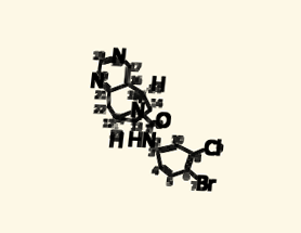 O=C(Nc1ccc(Br)c(Cl)c1)N1[C@H]2CC[C@@H]1c1cncnc1C2